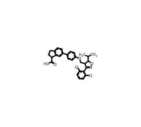 CC(C)C1ON=C(c2c(Cl)cccc2Cl)C1COc1ccc(-c2ccc3c(c2)C(C(=O)O)CC3)cc1